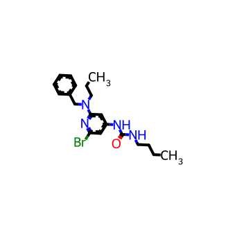 CCCCNC(=O)Nc1cc(Br)nc(N(CCC)Cc2ccccc2)c1